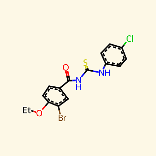 CCOc1ccc(C(=O)NC(=S)Nc2ccc(Cl)cc2)cc1Br